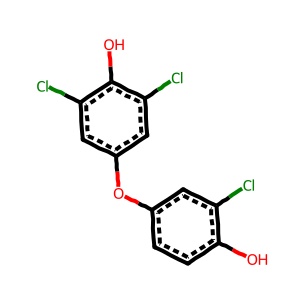 Oc1ccc(Oc2cc(Cl)c(O)c(Cl)c2)cc1Cl